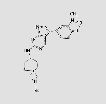 CC(=O)N1CC2(CCC(Nc3ncc4c(-c5ccc6nnn(C)c6c5)c[nH]c4n3)CC2)C1